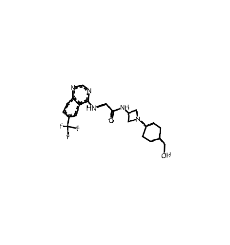 O=C(CNc1ncnc2ccc(C(F)(F)F)cc12)NC1CN(C2CCC(CO)CC2)C1